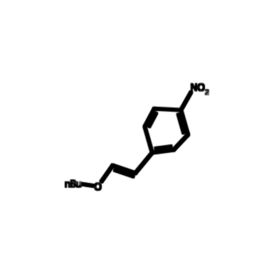 CCCCO/C=C/c1ccc([N+](=O)[O-])cc1